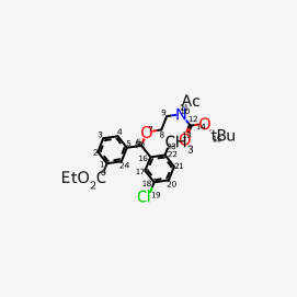 CCOC(=O)c1cccc([C@@H](OCCN(C(C)=O)C(=O)OC(C)(C)C)c2cc(Cl)ccc2C)c1